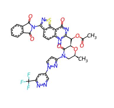 CC(=O)OC(c1nc(=O)c2c(ccc3c(N4C(=O)c5ccccc5C4=O)nsc32)[nH]1)[C@H]1O[C@@H](C)CN(c2ccn(-c3cnnc(C(F)(F)F)c3)n2)C1=O